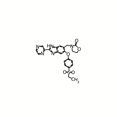 CCS(=O)(=O)c1ccc(Oc2cc3nc(-c4cnccn4)[nH]c3cc2CN2CCOC2=O)cc1